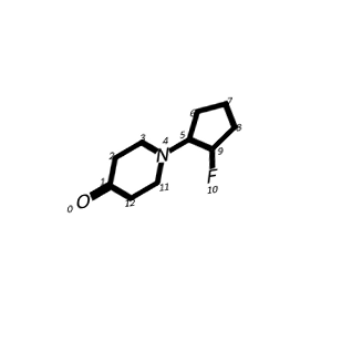 O=C1CCN(C2CCCC2F)CC1